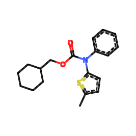 Cc1ccc(N(C(=O)OCC2CCCCC2)c2ccccc2)s1